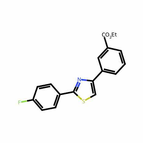 CCOC(=O)c1cccc(-c2csc(-c3ccc(F)cc3)n2)c1